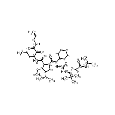 C=CCNC(=O)C(=O)C(CCC)NC(=O)[C@@H]1[C@@H](CC)[C@@H](C(C)C)CN1C(=O)[C@@H](NC(=O)N[C@H](COC(=O)NC(C)C)C(C)(C)C)C1CCCCC1